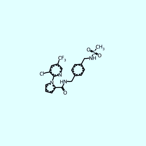 CS(=O)(=O)NCc1ccc(CNC(=O)c2cccn2-c2ncc(C(F)(F)F)cc2Cl)cc1